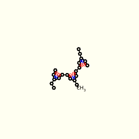 Cc1ccc(-c2cc3c4ccc5c6cc(-c7ccc8oc9c(ccc%10c%11cc(-c%12ccc(-c%13ccccc%13)cc%12)cc%12c%13ccc%14c%15ccccc%15oc%14c%13n(c%12%11)c%109)c8c7)ccc6oc5c4n4c3c(c2)c2ccc3c5cc(-c6ccc7oc8c(ccc9c%10cc(-c%11cccc(-c%12ccccc%12)c%11)cc%11c%12ccc%13c%14ccccc%14oc%13c%12n(c%11%10)c98)c7c6)ccc5oc3c24)cc1